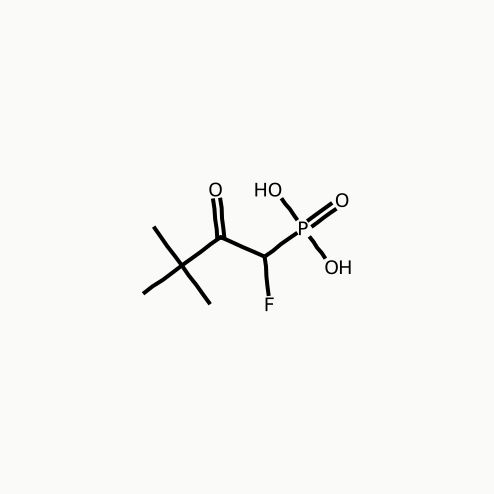 CC(C)(C)C(=O)C(F)P(=O)(O)O